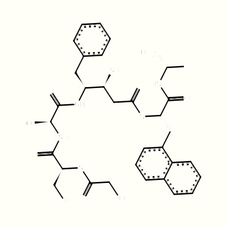 CC(C)CC(=O)N[C@@H](CC(C)C)C(=O)N[C@H](C(=O)N[C@@H](Cc1ccccc1)[C@@H](N)CC(=O)N[C@@H](Cc1cccc2ccccc12)C(=O)N[C@H](C(=O)O)C(C)C)C(C)C